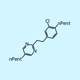 CCCCCc1cnc(CCc2ccc(CCCCC)c(Cl)c2)nc1